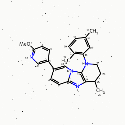 COc1ccc(-c2ccc3nc4c(n3c2)N(c2cc(C)ccc2C)CCC4C)cn1